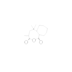 CC1CC(C)(C)C2CCCCCC2C(=O)OC1=O